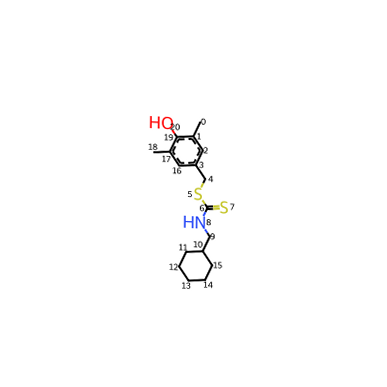 Cc1cc(CSC(=S)NCC2CCCCC2)cc(C)c1O